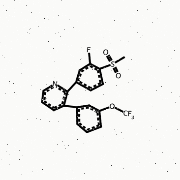 CS(=O)(=O)c1ccc(-c2ncccc2-c2cccc(OC(F)(F)F)c2)cc1F